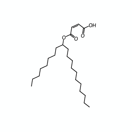 CCCCCCCCCCCC(CCCCCCCC)OC(=O)/C=C\C(=O)O